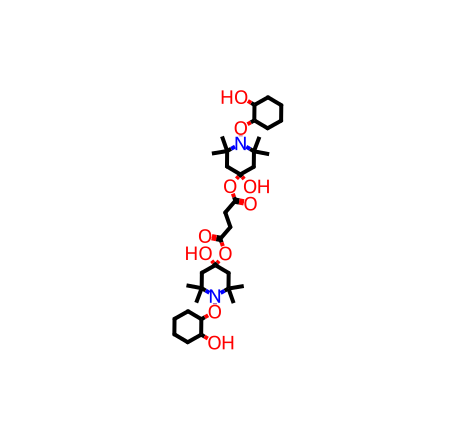 CC1(C)CC(O)(OC(=O)CCC(=O)OC2(O)CC(C)(C)N(OC3CCCCC3O)C(C)(C)C2)CC(C)(C)N1OC1CCCCC1O